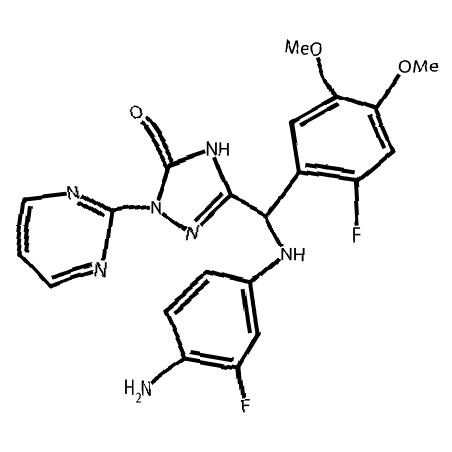 COc1cc(F)c(C(Nc2ccc(N)c(F)c2)c2nn(-c3ncccn3)c(=O)[nH]2)cc1OC